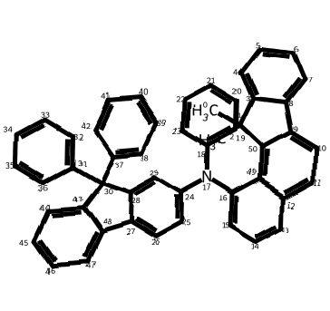 CC1(C)c2ccccc2-c2ccc3cccc(N(c4ccccc4)c4ccc5c(c4)C(c4ccccc4)(c4ccccc4)c4ccccc4-5)c3c21